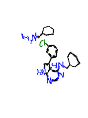 Clc1cccc(-c2c[nH]c3ncnc(NCC4CCCCC4)c23)c1.NCC1CCCCC1